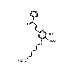 CCOC(=O)CCCCCOc1cc(/C=C/C(=O)c2ccsc2)ncc1OC.Cl